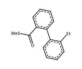 CCc1ccccc1-c1ccccc1C(=O)SC